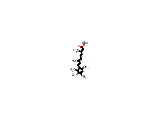 CCCCOC(=O)/C=C(C)/C=C/C=C(C)/C=C/c1c(C)cc(C)c([N+](=O)[O-])c1C